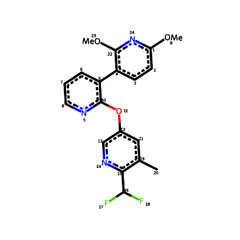 COc1ccc(-c2cccnc2Oc2cnc(C(F)F)c(C)c2)c(OC)n1